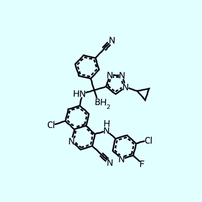 BC(Nc1cc(Cl)c2ncc(C#N)c(Nc3cnc(F)c(Cl)c3)c2c1)(c1cccc(C#N)c1)c1cn(C2CC2)nn1